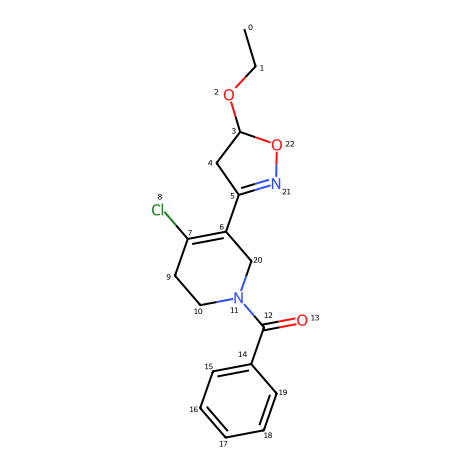 CCOC1CC(C2=C(Cl)CCN(C(=O)c3ccccc3)C2)=NO1